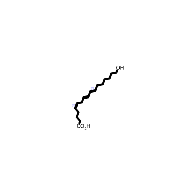 O=C(O)CCC/C=C\CC=C/C=C/CCCCCCO